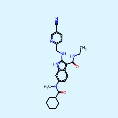 CCNC(=O)c1c(NCc2ccc(C#N)cn2)[nH]c2cc(N(C)C(=O)C3CCCCC3)ccc12